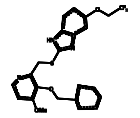 COc1ccnc(CSc2nc3cc(OCC(F)(F)F)ccc3[nH]2)c1OCc1ccccc1